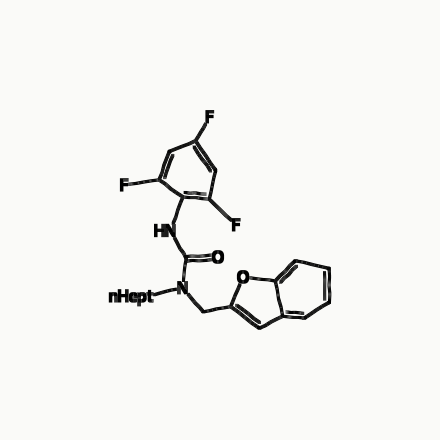 CCCCCCCN(Cc1cc2ccccc2o1)C(=O)Nc1c(F)cc(F)cc1F